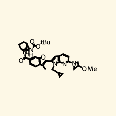 COC1CN(c2ccc3cc(-c4oc5cc(C(=O)N6CC7CCC6[C@@H]7NC(=O)OC(C)(C)C)ccc5c4C)n(CC4CC4)c3n2)C1